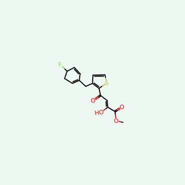 COC(=O)/C(O)=C/C(=O)c1sccc1CC1=CCC(F)C=C1